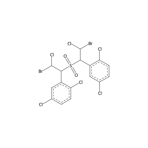 O=S(=O)(C(c1cc(Cl)ccc1Cl)C(Cl)Br)C(c1cc(Cl)ccc1Cl)C(Cl)Br